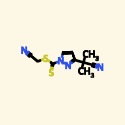 CC(C)(C#N)c1ccn(C(=S)SCC#N)n1